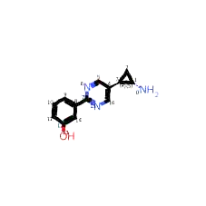 N[C@H]1C[C@@H]1c1cnc(-c2cccc(O)c2)nc1